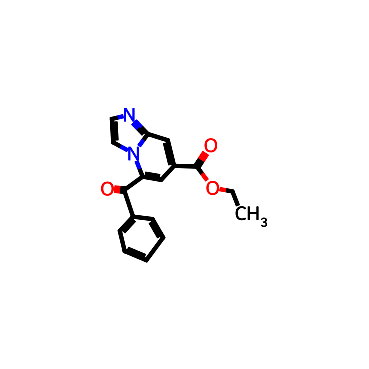 CCOC(=O)c1cc(C(=O)c2ccccc2)n2ccnc2c1